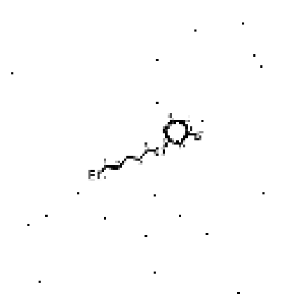 CCC=CCCCOc1cc[c]c(F)c1